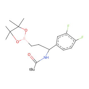 CC(C)(C)C(=O)NC(CCB1OC(C)(C)C(C)(C)O1)c1ccc(F)c(F)c1